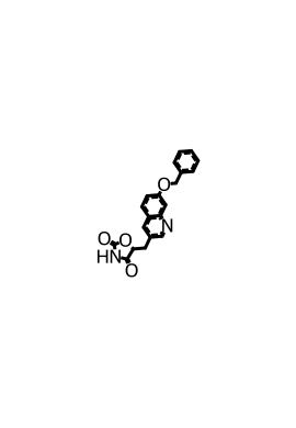 O=C1NC(=O)C(Cc2cnc3cc(OCc4ccccc4)ccc3c2)O1